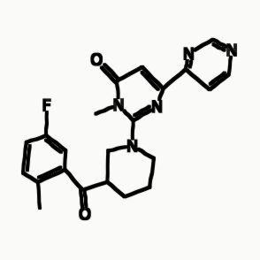 Cc1ccc(F)cc1C(=O)C1CCCN(c2nc(-c3ccncn3)cc(=O)n2C)C1